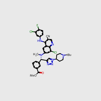 COC(=O)c1cccc([C@@H](c2cn(C3CCN(C(C)(C)C)CC3)nn2)N(C)c2cc(Cl)c3ncc(C#N)c(Nc4ccc(F)c(Cl)c4)c3c2)c1